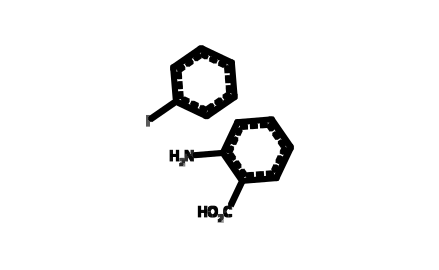 Ic1ccccc1.Nc1ccccc1C(=O)O